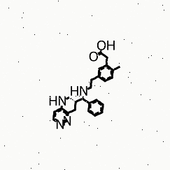 Cc1ccc(CCN[C@H](c2ccccc2)[C@H]2CNc3ccnnc3C2)cc1CC(=O)O